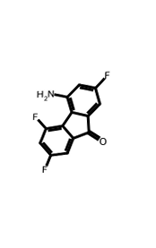 Nc1cc(F)cc2c1-c1c(F)cc(F)cc1C2=O